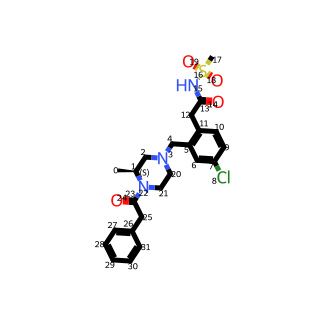 C[C@H]1CN(Cc2cc(Cl)ccc2CC(=O)NS(C)(=O)=O)CCN1C(=O)Cc1ccccc1